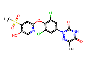 CS(=O)(=O)c1cc(Oc2c(Cl)cc(-n3nc(C#N)c(=O)[nH]c3=O)cc2Cl)ncc1O